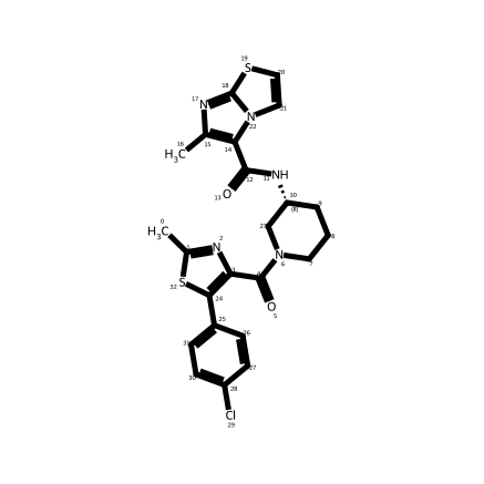 Cc1nc(C(=O)N2CCC[C@@H](NC(=O)c3c(C)nc4sccn34)C2)c(-c2ccc(Cl)cc2)s1